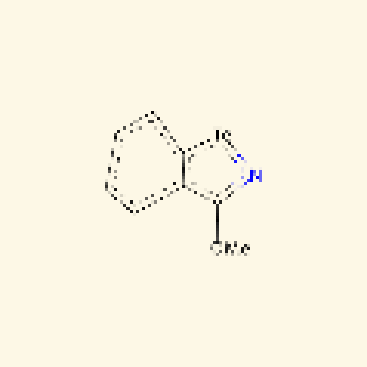 COc1n[te]c2ccccc12